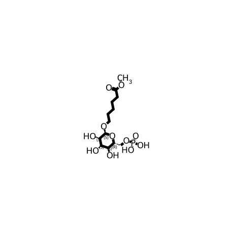 COC(=O)CCCCCO[C@H]1O[C@H](COP(=O)(O)O)[C@@H](O)[C@H](O)[C@@H]1O